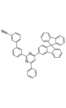 N#Cc1cccc(-c2cccc(-c3nc(-c4ccccc4)cc(-c4ccc5c(c4)-c4ccccc4C54c5ccccc5-c5ccccc54)n3)c2)c1